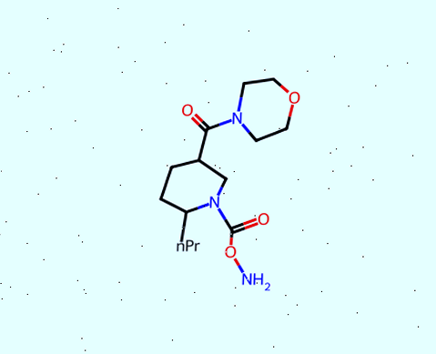 CCCC1CCC(C(=O)N2CCOCC2)CN1C(=O)ON